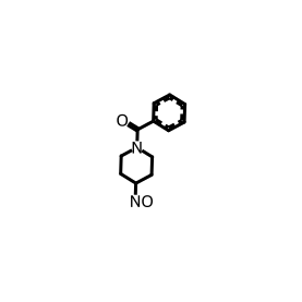 O=NC1CCN(C(=O)c2ccccc2)CC1